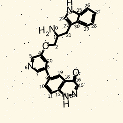 NC(COc1cncc(-c2ccc3[nH]ncc(=O)c3c2)c1)Cc1c[nH]c2ccccc12